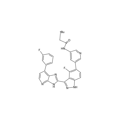 CC(C)(C)CC(=O)Nc1cncc(-c2ccc3[nH]nc(-c4nc5c(-c6cccc(F)c6)ccnc5[nH]4)c3c2F)c1